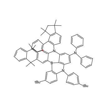 CC(C)(C)c1ccc(N2c3ccc(C(C)(C)C)cc3B3c4cc5c(cc4N(c4ccc6c(c4-c4ccccc4)C(C)(C)CC6(C)C)c4cc(N(c6ccccc6)c6ccccc6)cc2c43)C(C)(C)c2ccccc2C5(C)C)cc1